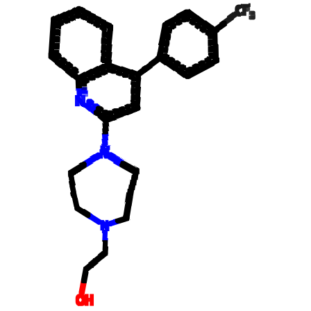 OCCN1CCN(c2cc(-c3ccc(C(F)(F)F)cc3)c3ccccc3n2)CC1